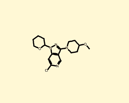 COC1CCN(c2nn(C3CCCCO3)c3cc(Cl)ncc23)CC1